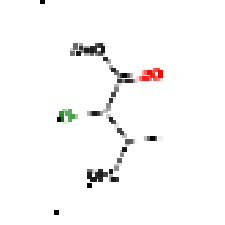 COC(=O)C(Cl)C(C)C=O